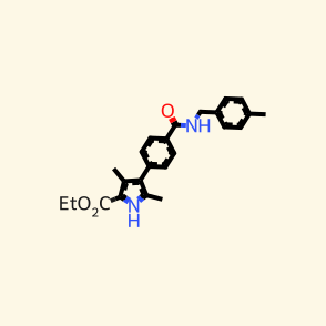 CCOC(=O)c1[nH]c(C)c(-c2ccc(C(=O)NCc3ccc(C)cc3)cc2)c1C